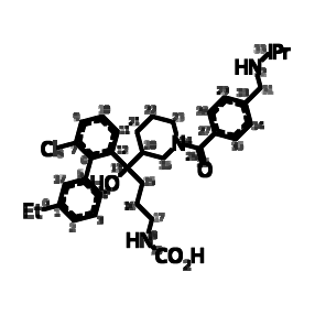 CCc1cccc(-c2c(Cl)cccc2C(O)(CCCNC(=O)O)C2CCCN(C(=O)c3ccc(CNC(C)C)cc3)C2)c1